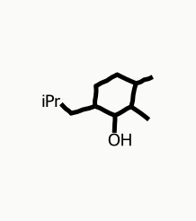 CC(C)CC1CCC(C)C(C)C1O